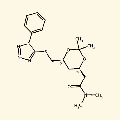 CN(C)C(=O)C[C@H]1C[C@@H](CSc2nnnn2-c2ccccc2)OC(C)(C)O1